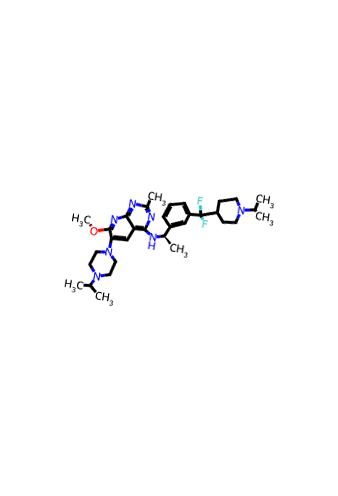 COc1nc2nc(C)nc(N[C@H](C)c3cccc(C(F)(F)C4CCN(C(C)C)CC4)c3)c2cc1N1CCN(C(C)C)CC1